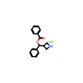 Cl.O=C(OC(c1ccccc1)C1CNC1)c1ccccc1